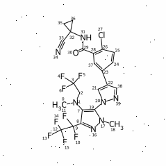 CN(CC(F)(F)F)c1c(C(F)(F)C(F)(F)F)nn(C)c1-n1cc(-c2ccc(Cl)c(C(=O)NC3(C#N)CC3)c2)cn1